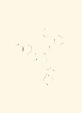 Cn1cc(CC(NC(=O)C=Cc2cc(Cl)ccc2-n2cnnn2)C(=O)Nc2ccc(C(=O)O)cc2)c2ccccc21